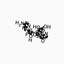 Nc1ncnc2c1ncn2[C@@H]1O[C@H](COP(=O)(S)O[C@@H]2[C@H](O)[C@@H](CO)O[C@H]2n2ccc(=O)n3ccnc23)[C@@H](O)[C@@H]1F